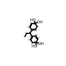 CCC(C1=CCC(O)(O)C=C1)C1=CCC(O)(O)C=C1